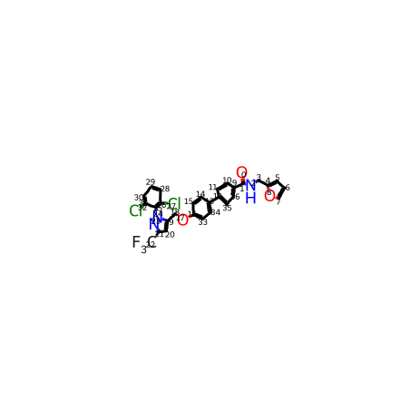 O=C(NCc1ccco1)c1ccc(-c2ccc(OCc3cc(C(F)(F)F)nn3-c3c(Cl)cccc3Cl)cc2)cc1